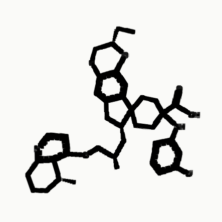 CC[C@H]1COc2cc3c(cc2O1)C1(CCC(Nc2cccc(Cl)c2)(C(=O)O)CC1)[C@@H](C[C@@H](C)COc1ccnc2c1[C@H](C)CCC2)C3